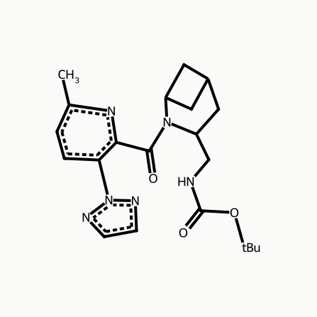 Cc1ccc(-n2nccn2)c(C(=O)N2C(CNC(=O)OC(C)(C)C)CC3CC2C3)n1